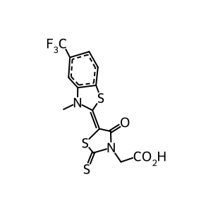 CN1/C(=C2\SC(=S)N(CC(=O)O)C2=O)Sc2ccc(C(F)(F)F)cc21